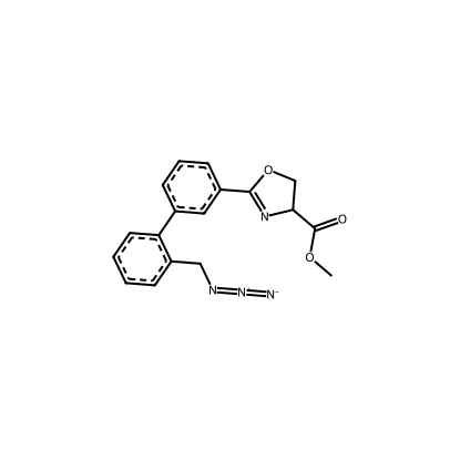 COC(=O)C1COC(c2cccc(-c3ccccc3CN=[N+]=[N-])c2)=N1